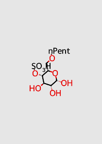 CCCCCOC[C@H]1O[C@H](O)[C@H](O)[C@@H](O)[C@@H]1OS(=O)(=O)O